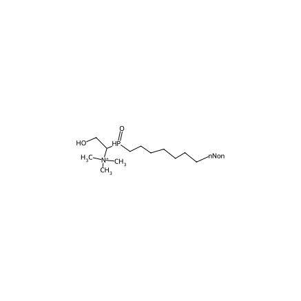 CCCCCCCCCCCCCCCC[PH](=O)C(CO)[N+](C)(C)C